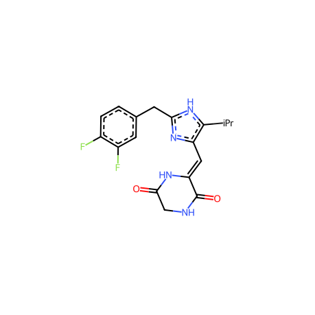 CC(C)c1[nH]c(Cc2ccc(F)c(F)c2)nc1C=C1NC(=O)CNC1=O